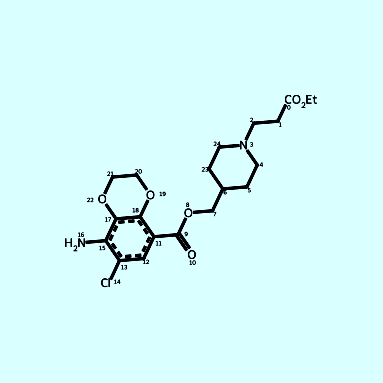 CCOC(=O)CCN1CCC(COC(=O)c2cc(Cl)c(N)c3c2OCCO3)CC1